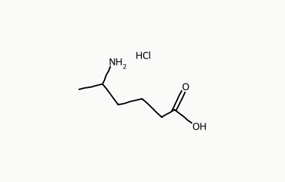 CC(N)CCCC(=O)O.Cl